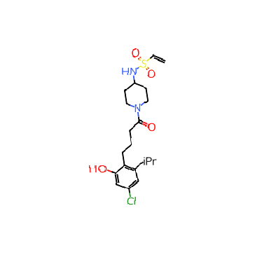 C=CS(=O)(=O)NC1CCN(C(=O)CCCc2c(O)cc(Cl)cc2C(C)C)CC1